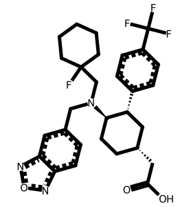 O=C(O)C[C@@H]1CC[C@@H](N(Cc2ccc3nonc3c2)CC2(F)CCCCC2)[C@H](c2ccc(C(F)(F)F)cc2)C1